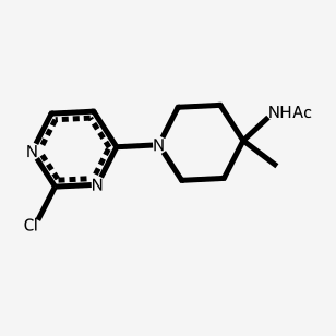 CC(=O)NC1(C)CCN(c2ccnc(Cl)n2)CC1